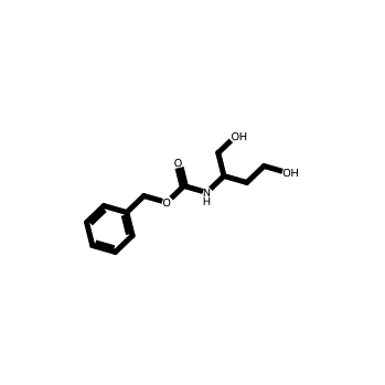 O=C(NC(CO)CCO)OCc1ccccc1